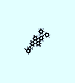 Ic1cccc2nc(-c3ccc(-c4ccccc4-c4ccccc4-c4ccc(N(c5ccccc5)c5ccccc5)cc4)cc3)oc12